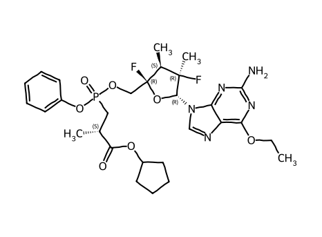 CCOc1nc(N)nc2c1ncn2[C@@H]1O[C@](F)(COP(=O)(C[C@@H](C)C(=O)OC2CCCC2)Oc2ccccc2)[C@@H](C)[C@@]1(C)F